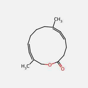 CC1=C=CCCC(=O)OCC(C)=C=CCCC1